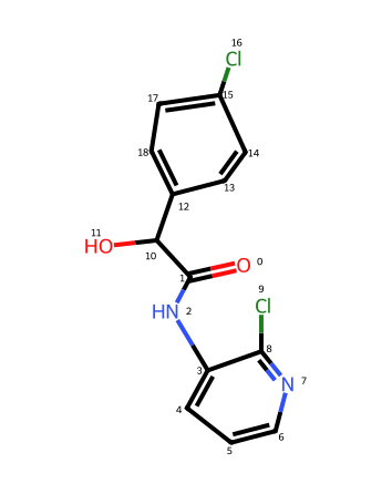 O=C(Nc1cccnc1Cl)C(O)c1ccc(Cl)cc1